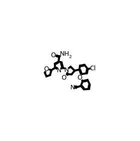 N#Cc1ccccc1Oc1cc(Cl)ccc1C1CC(=O)N(c2cc(C(N)=O)cc(C3CCCO3)n2)C1